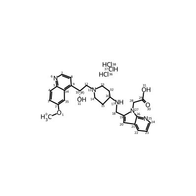 COc1ccc2nccc([C@@H](O)CN3CCC(NCc4cc5cccnc5n4CC(=O)O)CC3)c2c1.Cl.Cl.Cl